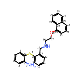 Nc1ccccc1Sc1ccccc1CNCCOc1cccc2ccccc12